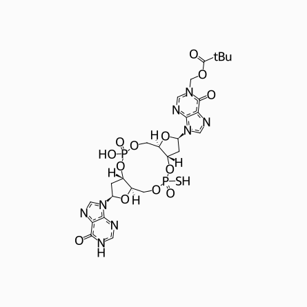 CC(C)(C)C(=O)OCn1cnc2c(ncn2[C@H]2C[C@@H]3OP(=O)(S)OC[C@H]4O[C@@H](n5cnc6c(=O)[nH]cnc65)C[C@@H]4OP(=O)(O)OC[C@H]3O2)c1=O